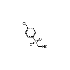 [C-]#[N+]CS(=O)(=O)c1ccc(Cl)cc1